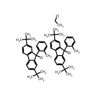 CCCl.Cc1ccccc1[C]1([Zr])c2cc(C(C)(C)C)ccc2-c2ccc(C(C)(C)C)cc21.Cc1ccccc1[C]1([Zr])c2cc(C(C)(C)C)ccc2-c2ccc(C(C)(C)C)cc21